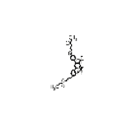 C=CC(=O)CCCOc1ccc(-c2cc(-c3ccc(CCCOC(=O)C=C)cc3)c(C(F)(F)F)cc2C(F)(F)F)cc1